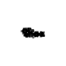 CN1C(C(=O)Nc2ccc(-n3ccnc3)cc2)=C(O)c2ccccc2S1(=O)=O